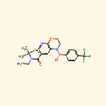 CCN(C(=O)c1cnc2c(c1)N([S+]([O-])c1ccc(C(F)(F)F)cc1)CCO2)C(C)(C)C